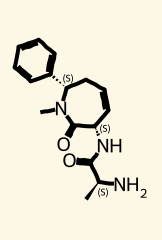 C[C@H](N)C(=O)N[C@H]1C=CC[C@@H](c2ccccc2)N(C)C1=O